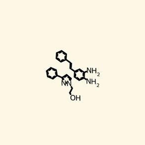 Nc1ccc(C=Cc2ccccc2)cc1N.OCCn1ccc(-c2ccccc2)n1